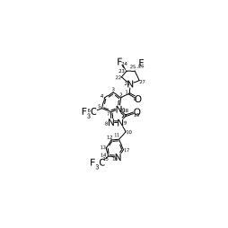 O=C(c1ccc(C(F)(F)F)c2nn(Cc3ccc(C(F)(F)F)nc3)c(=O)n12)N1C[C@@H](F)[C@H](F)C1